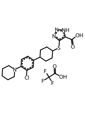 O=C(O)C(F)(F)F.O=C(O)c1[nH]nnc1SC1CCC(c2ccc(N3CCCCC3)c(Cl)c2)CC1